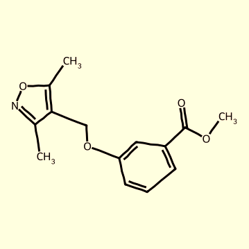 COC(=O)c1cccc(OCc2c(C)noc2C)c1